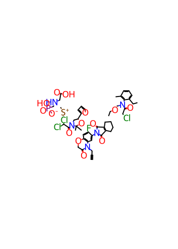 C#CCN1C(=O)COc2cc(F)c(N3C(=O)C4=C(CCCC4)C3=O)cc21.CC1(C)OC(c2ccco2)CN1C(=O)C(Cl)Cl.CCOCN(C(=O)CCl)c1c(C)cccc1CC.C[S+](C)C.O=C(O)CNCP(=O)([O-])O